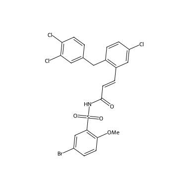 COc1ccc(Br)cc1S(=O)(=O)NC(=O)/C=C/c1cc(Cl)ccc1Cc1ccc(Cl)c(Cl)c1